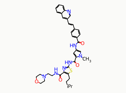 CC(C)CCc1sc(NC(=O)c2cc(NC(=O)c3ccc(/C=C/c4cnc5ccccc5c4)cc3)cn2C)nc1C(=O)NCCN1CCOCC1